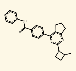 C[C@H]1CCN1c1nc2c(c(-c3ccc(C(=O)Nc4ccccc4)cc3)n1)CCC2